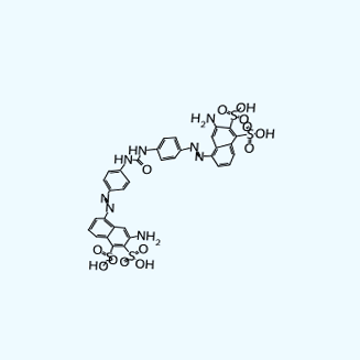 Nc1cc2c(N=Nc3ccc(NC(=O)Nc4ccc(N=Nc5cccc6c(S(=O)(=O)O)c(S(=O)(=O)O)c(N)cc56)cc4)cc3)cccc2c(S(=O)(=O)O)c1S(=O)(=O)O